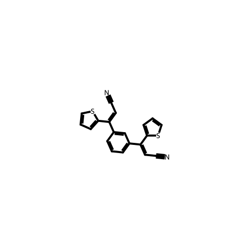 N#CC=C(c1cccc(C(=CC#N)c2cccs2)c1)c1cccs1